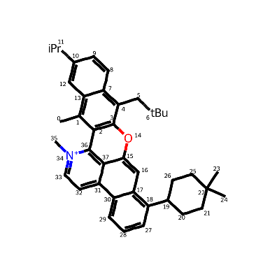 Cc1c2c(c(CC(C)(C)C)c3ccc(C(C)C)cc13)Oc1cc3c(C4CCC(C)(C)CC4)cccc3c3cc[n+](C)c-2c13